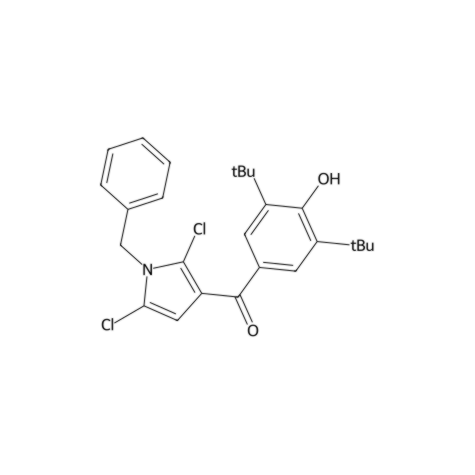 CC(C)(C)c1cc(C(=O)c2cc(Cl)n(Cc3ccccc3)c2Cl)cc(C(C)(C)C)c1O